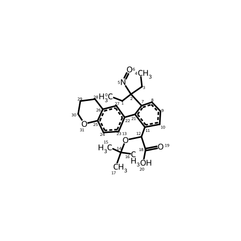 CCC(CC)(N=O)c1cccc(C(OC(C)(C)C)C(=O)O)c1-c1ccc2c(c1)CCCO2